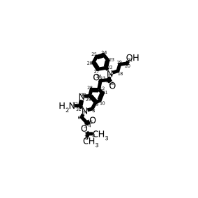 CC(C)OC(=O)CN1Cc2ccc(C(=O)C(=O)N(CCCO)c3ccccc3)cc2N=C1N